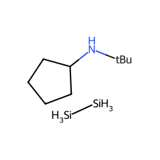 CC(C)(C)NC1CCCC1.[SiH3][SiH3]